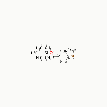 CC(C)(C)[Si](C)(C)OCC1=Cc2ccsc2CC1